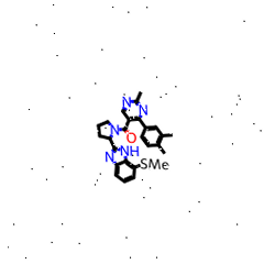 CSc1cccc2nc(C3CCCN3C(=O)c3cnc(C)nc3-c3ccc(C)c(C)c3)[nH]c12